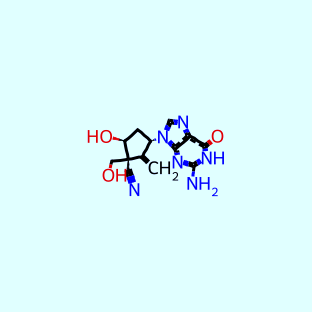 C=C1[C@@H](n2cnc3c(=O)[nH]c(N)nc32)C[C@H](O)[C@@]1(C#N)CO